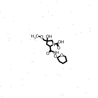 COCC1(O)CC(C(=O)NOC2CCCCO2)N(C(=O)O)C1